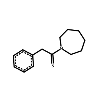 S=C(Cc1ccccc1)N1CCCCCC1